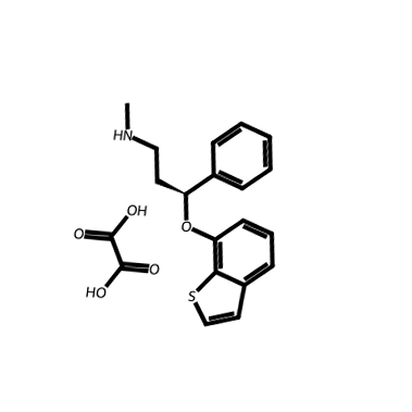 CNCC[C@H](Oc1cccc2ccsc12)c1ccccc1.O=C(O)C(=O)O